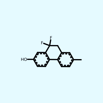 Cc1ccc2c(c1)CC(F)(F)c1cc(O)ccc1-2